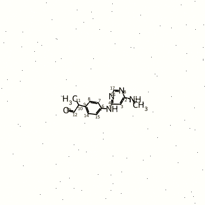 CNc1cc(Nc2ccc(C(C)C=O)cc2)ncn1